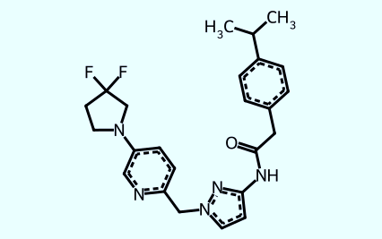 CC(C)c1ccc(CC(=O)Nc2ccn(Cc3ccc(N4CCC(F)(F)C4)cn3)n2)cc1